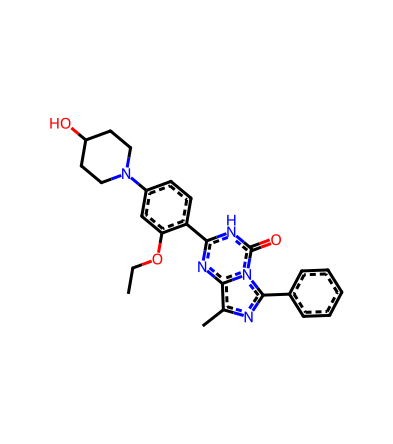 CCOc1cc(N2CCC(O)CC2)ccc1-c1nc2c(C)nc(-c3ccccc3)n2c(=O)[nH]1